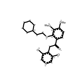 COc1ccc(C(=O)Cc2c(Cl)cncc2Cl)c(OCCC2CCCCC2)c1OC